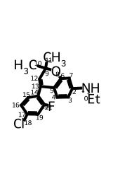 CCNc1ccc2c(c1)OC(C)(C)C=C2c1ccc(Cl)cc1F